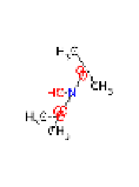 CCCCCCCCC(CCCCCC)C(=O)OCCCCCCN(CCCO)CCCCCCOC(=O)OC(CCCCC)CCCCC